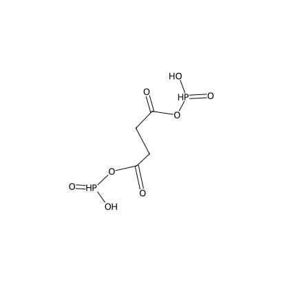 O=C(CCC(=O)O[PH](=O)O)O[PH](=O)O